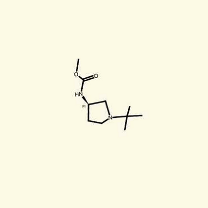 COC(=O)N[C@@H]1CCN(C(C)(C)C)C1